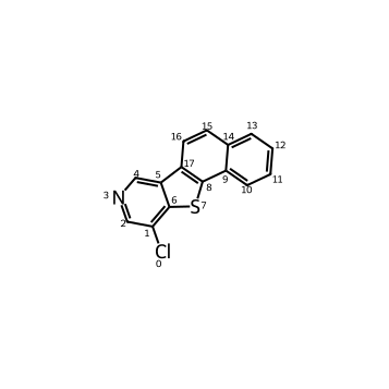 Clc1cncc2c1sc1c3ccccc3ccc21